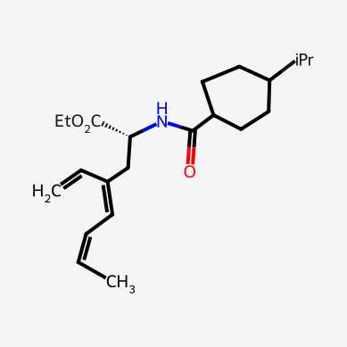 C=C/C(=C\C=C/C)C[C@@H](NC(=O)C1CCC(C(C)C)CC1)C(=O)OCC